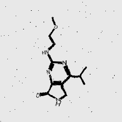 COCCNc1nc2c(c(C(C)C)n1)CNC2=O